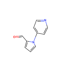 O=Cc1cccn1-c1ccncc1